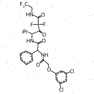 CC(C)C(NC(=O)C(NC(=O)COc1cc(Cl)cc(Cl)c1)c1ccccc1)C(=O)C(F)(F)C(=O)NCC(F)(F)F